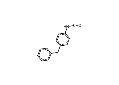 O=CNc1ccc(Cc2ccccc2)cc1